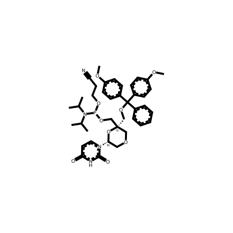 COc1ccc(C(OC[C@]2(COP(OCCC#N)N(C(C)C)C(C)C)COC[C@H](n3ccc(=O)[nH]c3=O)O2)(c2ccccc2)c2ccc(OC)cc2)cc1